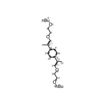 CCCCOCCO/C=C(\C)c1ccc(/C(C)=C/OCCOCCCC)cc1